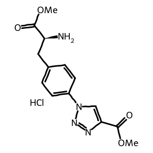 COC(=O)c1cn(-c2ccc(C[C@H](N)C(=O)OC)cc2)nn1.Cl